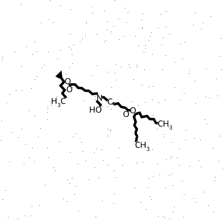 CCCCCCCCC(CCCCCCC)OC(=O)CCCCCCCN(CCO)CCCCCCCC(=O)OC(CCCCC)C1CC1